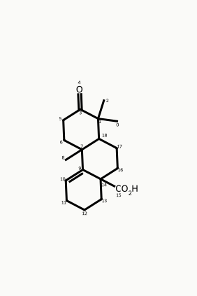 CC1(C)C(=O)CCC2(C)C3=CCCCC3(C(=O)O)CCC12